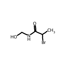 CC(Br)C(=O)NCO